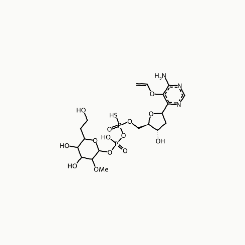 C=COc1c(N)ncnc1C1C[C@H](O)[C@@H](COP(=O)(S)OP(=O)(O)OC2OC(CCO)C(O)C(O)C2OC)O1